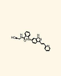 C#CCNC(=O)c1ccccc1Nc1ccc2c(/C=C/c3ccccn3)n[nH]c2c1